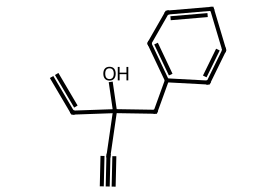 C#CC(O)(C=C)Cc1ccccc1